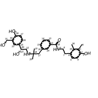 Cc1c(O)ccc(CCNC(=O)c2cccc(CC(C)(C)NC[C@H](O)c3ccc(O)c(CO)c3)c2)c1C